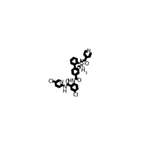 CS(=O)(=NC(=O)c1ccncc1)c1ccccc1-c1ccc(C(=O)Nc2ccc(Cl)cc2C(=O)Nc2ccc(Cl)cn2)cc1